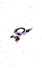 COc1ccc2c(O[C@@H]3C[C@H]4C(=O)N[C@]5(C=O)C[C@H]5/C=C\CCCCC[C@H](Nc5ccc(C#N)cc5)C(=O)N4C3)cc(-c3nc(C(C)C)cs3)nc2c1C